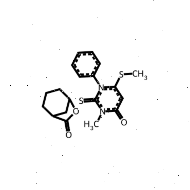 CSc1cc(=O)n(C)c(=S)n1-c1ccccc1.O=C1OC2CCCC1C2